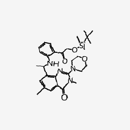 Cc1cc(C(C)Nc2ccccc2C(=O)CO[Si](C)(C)C(C)(C)C)c2nc(N3CCOCC3)n(C)c(=O)c2c1